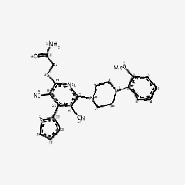 COc1ccccc1N1CCN(c2nc(SCC(N)=O)c(C#N)c(-c3cccs3)c2C#N)CC1